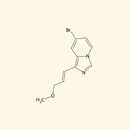 COC/C=C/c1ncn2ccc(Br)cc12